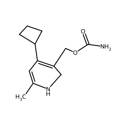 CC1=CC(C2CCC2)=C(COC(N)=O)CN1